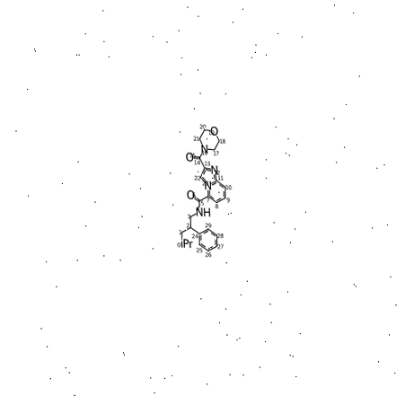 CC(C)CC(CNC(=O)c1cccc2nc(C(=O)N3CCOCC3)cn12)c1ccccc1